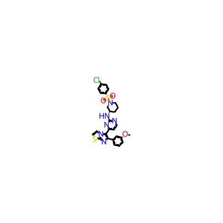 COc1cccc(-c2nc3sccn3c2-c2ccnc(N[C@H]3CCCN(S(=O)(=O)c4ccc(Cl)cc4)C3)n2)c1